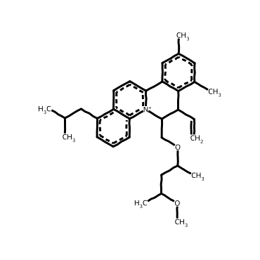 C=CC1c2c(C)cc(C)cc2-c2ccc3c(CC(C)C)cccc3[n+]2C1COC(C)CC(C)OC